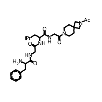 CC(=O)N1CC2(CCN(C(=O)CNC(=O)C(CC(C)C)NC(=O)CNC(=O)C(N)Cc3ccccc3)CC2)C1